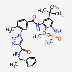 COc1c(NC(=O)c2ccc(C)c(-n3cc(C(=O)N[C@@H](C)c4ccccc4)nn3)c2)cc(C(C)(C)C)cc1NS(C)(=O)=O